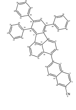 N#Cc1ccc2cc(-c3ccc4c5c(cccc35)-c3c(-c5ccccc5)c(-c5ccccc5)cc(-c5ccccc5)c3-4)ccc2c1